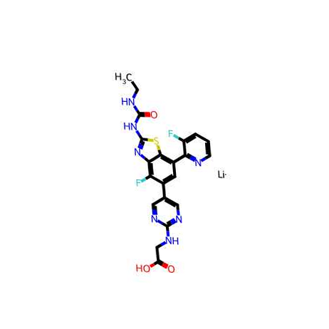 CCNC(=O)Nc1nc2c(F)c(-c3cnc(NCC(=O)O)nc3)cc(-c3ncccc3F)c2s1.[Li]